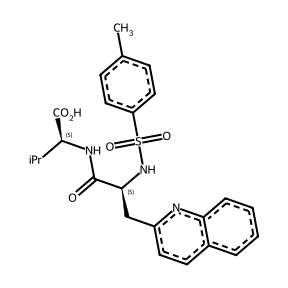 Cc1ccc(S(=O)(=O)N[C@@H](Cc2ccc3ccccc3n2)C(=O)N[C@H](C(=O)O)C(C)C)cc1